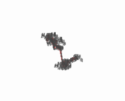 Cc1cc(Nc2ncc(Cl)c(Nc3ccccc3S(=O)(=O)C(C)C)n2)c(OC(C)C)cc1C1CCN(C(=O)CCCCCCCCCC(=O)NC(C(=O)N2C[C@H](O)C[C@H]2C(=O)NCc2ccc(-c3scnc3C)cc2)C(C)(C)C)CC1